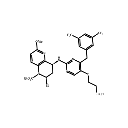 CCOC(=O)N1c2ccc(OC)nc2[C@@H](Nc2ncc(OCCC(=O)O)c(Cc3cc(C(F)(F)F)cc(C(F)(F)F)c3)n2)C[C@H]1CC